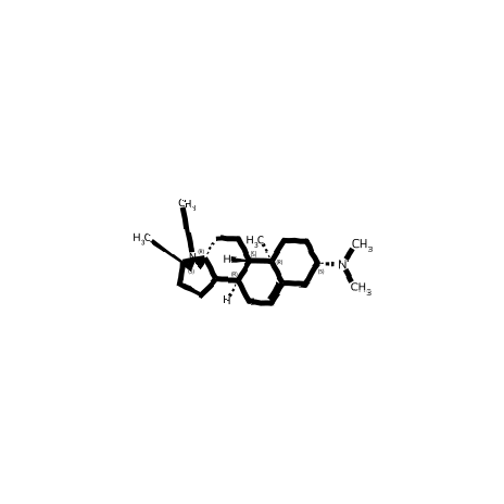 C[C@H]1C2CCC3[C@@H]4CC=C5C[C@@H](N(C)C)CC[C@]5(C)[C@H]4CC[C@@]32CN1C